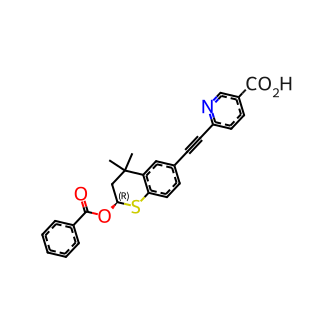 CC1(C)C[C@H](OC(=O)c2ccccc2)Sc2ccc(C#Cc3ccc(C(=O)O)cn3)cc21